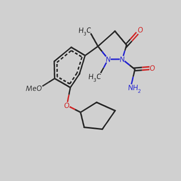 COc1ccc(C2(C)CC(=O)N(C(N)=O)N2C)cc1OC1CCCC1